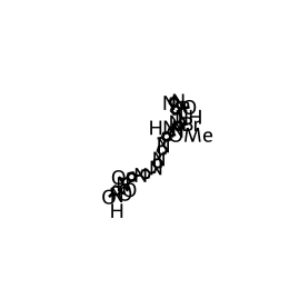 COc1cc(N2CCC(N3CCN(CC4CCN(c5ccc6c(c5)C(=O)N(C5CCC(=O)NC5=O)C6=O)CC4)CC3)CC2)c(C)cc1Nc1ncc(Br)c(Nc2ccc3nccnc3c2P(C)(C)=O)n1